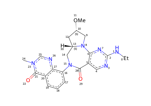 CCNc1ncc2c(n1)N1C[C@@H](OC)C[C@H]1CN(c1cccc3c(=O)n(C)cnc13)C2=O